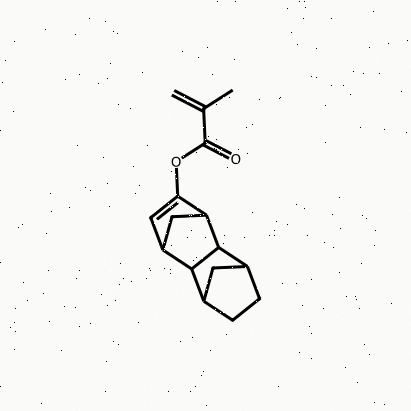 C=C(C)C(=O)OC1=CC2CC1C1C3CCC(C3)C21